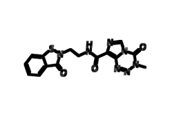 Cn1nnc2c(C(=O)NCCn3sc4ccccc4c3=O)ncn2c1=O